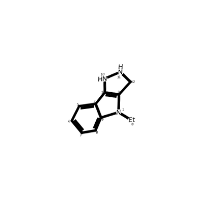 CCn1c2c(c3ccccc31)NNC2